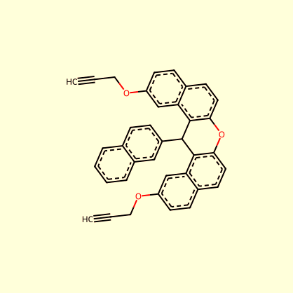 C#CCOc1ccc2ccc3c(c2c1)C(c1ccc2ccccc2c1)c1c(ccc2ccc(OCC#C)cc12)O3